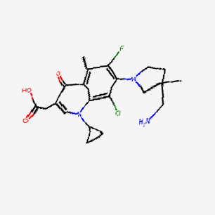 Cc1c(F)c(N2CCC(C)(CN)C2)c(Cl)c2c1c(=O)c(C(=O)O)cn2C1CC1